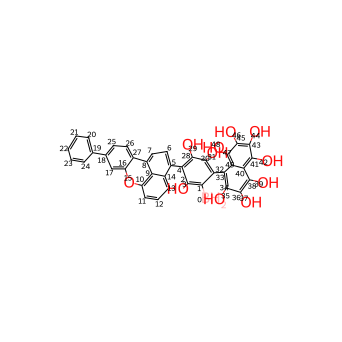 Bc1c(O)c(-c2ccc3c4c(cccc24)Oc2cc(-c4ccccc4)ccc2-3)c(O)c(O)c1-c1c(O)c(O)c(O)c2c(O)c(O)c(O)c(O)c12